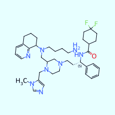 Cn1cncc1CN1CCN(CC[C@H](NC(=O)C2CCC(F)(F)CC2)c2ccccc2)CC1CN(CCCCN)C1CCCc2cccnc21